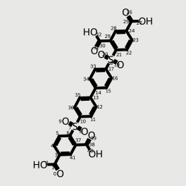 O=C(O)c1ccc(S(=O)(=O)c2ccc(-c3ccc(S(=O)(=O)c4ccc(C(=O)O)cc4C(=O)O)cc3)cc2)c(C(=O)O)c1